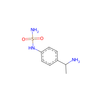 CC(N)c1ccc(NS(N)(=O)=O)cc1